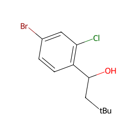 CC(C)(C)CC(O)c1ccc(Br)cc1Cl